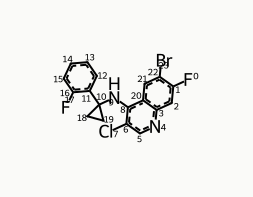 Fc1cc2ncc(Cl)c(NC3(c4ccccc4F)CC3)c2cc1Br